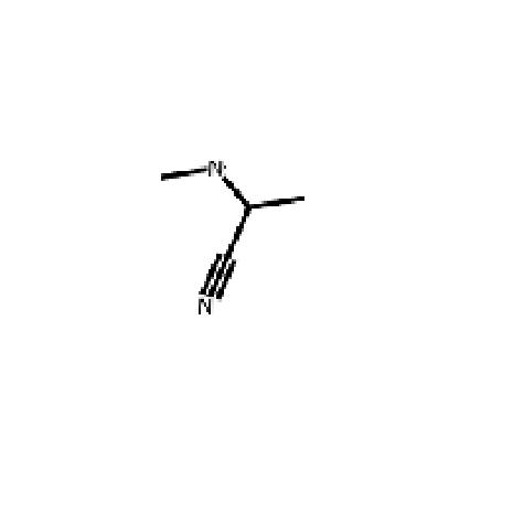 C[N]C(C)C#N